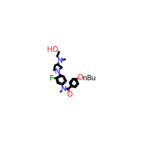 CCCCOc1ccc(C(=O)N(C)c2ccc(N3CCC(N(C)CCO)C3)c(F)c2)cc1